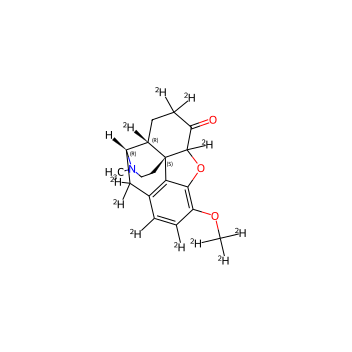 [2H]c1c([2H])c2c3c(c1OC([2H])([2H])[2H])OC1([2H])C(=O)C([2H])([2H])C[C@@]4([2H])[C@H](N(C)CC[C@]314)C2([2H])[2H]